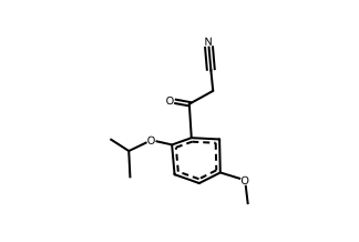 COc1ccc(OC(C)C)c(C(=O)CC#N)c1